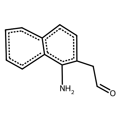 Nc1c(CC=O)ccc2ccccc12